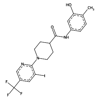 Cc1ccc(NC(=O)C2CCN(c3ncc(C(F)(F)F)cc3I)CC2)cc1O